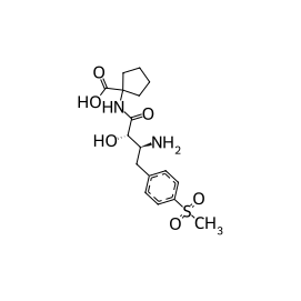 CS(=O)(=O)c1ccc(C[C@H](N)[C@H](O)C(=O)NC2(C(=O)O)CCCC2)cc1